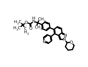 CC(C)(C)OC(=O)NC(C)(C)c1ccc(-c2ccc3nn(C4CCCCO4)cc3c2-c2ccncc2)cc1